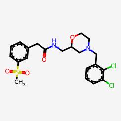 CS(=O)(=O)c1cccc(CC(=O)NCC2CN(Cc3cccc(Cl)c3Cl)CCO2)c1